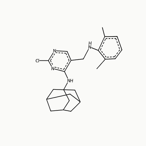 Cc1cccc(C)c1NCc1cnc(Cl)nc1NC12CC3CC(CC(C3)C1)C2